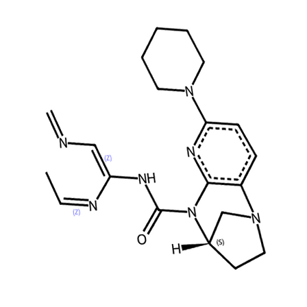 C=N/C=C(\N=C/C)NC(=O)N1c2nc(N3CCCCC3)ccc2N2CC[C@H]1C2